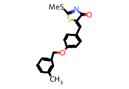 CSC1=NC(=O)/C(=C/c2ccc(OCc3cccc(C)c3)cc2)S1